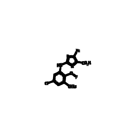 CCc1sc(Nc2cc(Cl)cc(OCC(C)C)c2OF)nc1C(=O)O